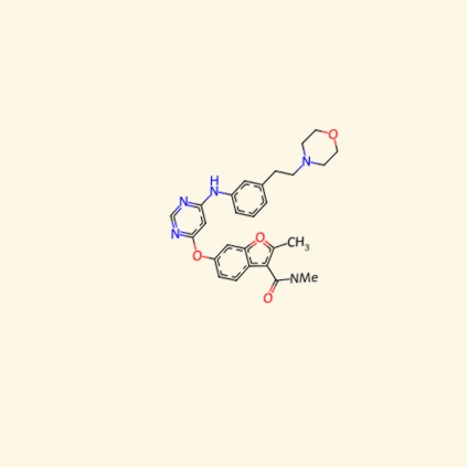 CNC(=O)c1c(C)oc2cc(Oc3cc(Nc4cccc(CCN5CCOCC5)c4)ncn3)ccc12